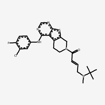 CN(CC=CC(=O)N1CCc2c(sc3ncnc(Nc4ccc(F)c(Cl)c4)c23)C1)C(C)(C)C